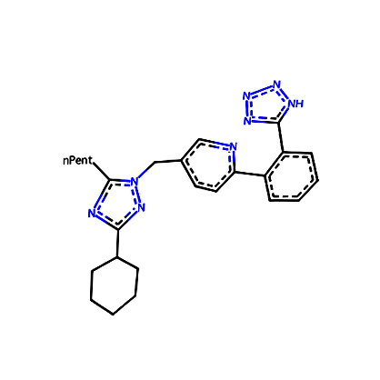 CCCCCc1nc(C2CCCCC2)nn1Cc1ccc(-c2ccccc2-c2nnn[nH]2)nc1